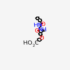 O=C(NCCNC(=O)c1ccc(O[C@H]2CC[C@@H](C(=O)O)CC2)cc1C1CC1)c1ccc2ccccc2c1